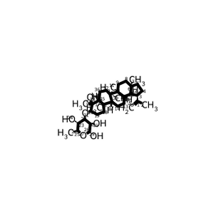 C=C(C)[C@@H]1CC[C@]2(C)CC[C@]3(C)[C@H](CC[C@@H]4[C@@]5(C)CCC(O[C@@H]6[C@@H](O)[C@H](C)O[C@@H](O)[C@@H]6O)C(C)(C)[C@@H]5CC[C@]43C)[C@@H]12